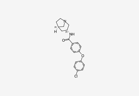 O=C(N[C@@H]1C[C@H]2CCN(C2)C1)c1ccc(Oc2ccc(Cl)cc2)cc1